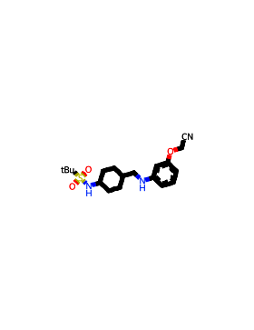 CC(C)(C)S(=O)(=O)NC1CCC(CNc2cccc(OCC#N)c2)CC1